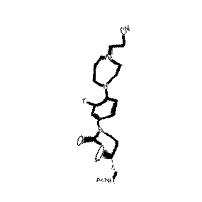 CC(=O)NC[C@H]1CN(c2ccc(N3CCN(CCC#N)CC3)c(F)c2)C(=O)O1